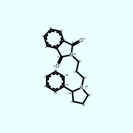 O=C1c2ccccc2C(=O)N1CCCN1CCCC1c1ccccc1